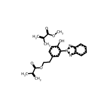 C=C(C)C(=O)OC.C=C(C)C(=O)OCCc1ccc(O)c(-n2nc3ccccc3n2)c1